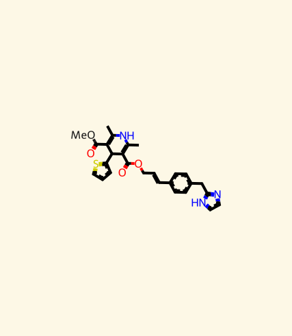 COC(=O)C1=C(C)NC(C)=C(C(=O)OCC=Cc2ccc(Cc3ncc[nH]3)cc2)C1c1cccs1